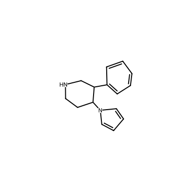 c1ccc(C2CNCCC2n2cccc2)cc1